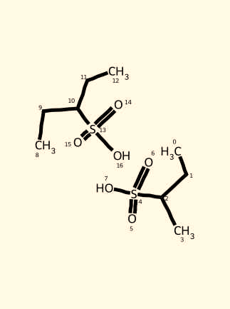 CCC(C)S(=O)(=O)O.CCC(CC)S(=O)(=O)O